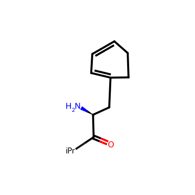 CC(C)C(=O)[C@@H](N)CC1=CC=CCC1